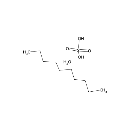 CCCCCCCCCC.O.O=S(=O)(O)O